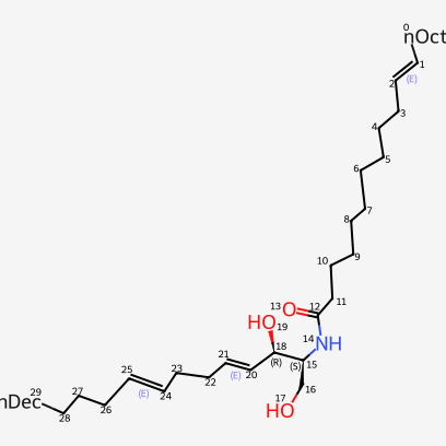 CCCCCCCC/C=C/CCCCCCCCCC(=O)N[C@@H](CO)[C@H](O)/C=C/CC/C=C/CCCCCCCCCCCCC